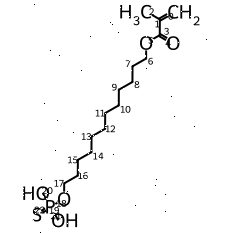 C=C(C)C(=O)OCCCCCCCCCCCCOP(O)(O)=S